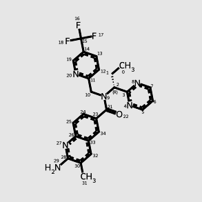 CC[C@H](c1ncccn1)N(Cc1ccc(C(F)(F)F)cn1)C(=O)c1ccc2nc(N)c(C)cc2c1